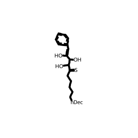 CCCCCCCCCCCCCCCC(=S)C(O)C(O)C(O)=Cc1ccccc1